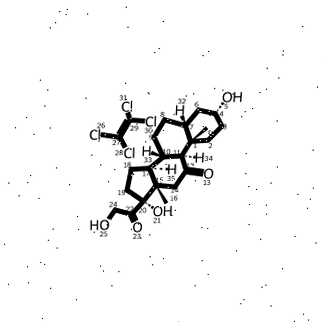 C[C@]12CC[C@@H](O)C[C@H]1CC[C@@H]1[C@@H]2C(=O)C[C@@]2(C)[C@H]1CC[C@]2(O)C(=O)CO.ClC(Cl)=C(Cl)Cl